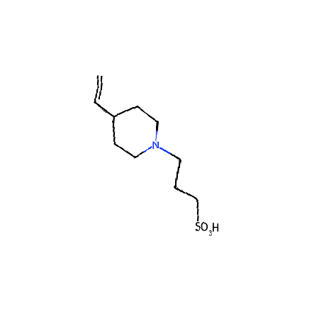 C=CC1CCN(CCCS(=O)(=O)O)CC1